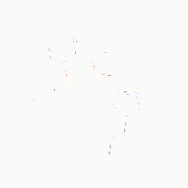 BC(F)(F)Oc1ccccc1-c1ccc(-c2nc(C)c(CC(C)C)[nH]2)o1